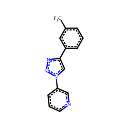 FC(F)(F)c1cccc(-c2cn(-c3cccnc3)nn2)c1